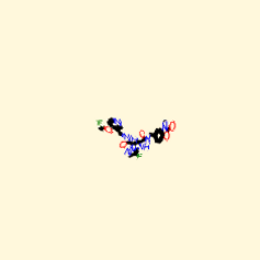 CC(F)Oc1ccncc1CNC(=O)c1cc(C(=O)NCc2ccc3oc(=O)n(C)c3c2)nc2c(F)cnn12